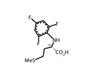 CSCC[C@H](Nc1c(F)cc(F)cc1F)C(=O)O